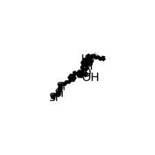 CC(C)CCC[C@@H](C)[C@H]1CC[C@H]2[C@@H]3CC=C4C[C@@H](c5cc(C(C)c6ccc(CCCC[Si](C)(C)CC[Si](C)(C)CC[Si](C)(C)C)cc6)ccc5C(=O)O)CC[C@]4(C)[C@H]3CC[C@]12C